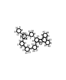 c1ccc(-c2nc(-c3ccccc3)nc(-c3cccc(-c4cccc(-c5cccc(-c6cccc7c6oc6c8ccccc8c8ccccc8c76)c5)c4)c3)n2)cc1